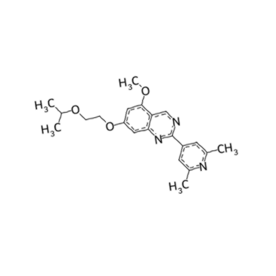 COc1cc(OCCOC(C)C)cc2nc(-c3cc(C)nc(C)c3)ncc12